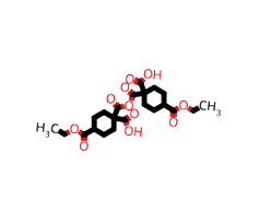 CCOC(=O)C1CCC(C(=O)O)(C(=O)OC(=O)C2(C(=O)O)CCC(C(=O)OCC)CC2)CC1